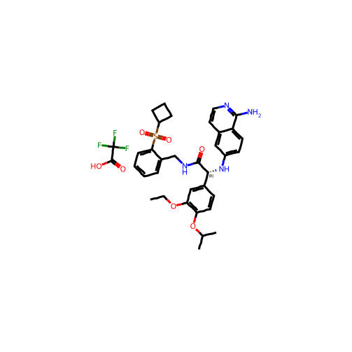 CCOc1cc([C@@H](Nc2ccc3c(N)nccc3c2)C(=O)NCc2ccccc2S(=O)(=O)C2CCC2)ccc1OC(C)C.O=C(O)C(F)(F)F